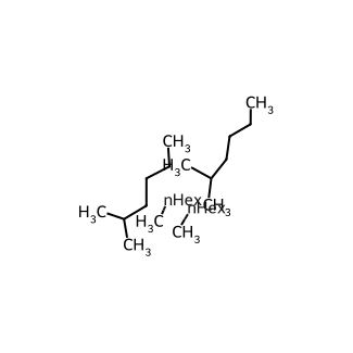 CCCCC(C)C.CCCCC(C)C.CCCCCCC.CCCCCCC